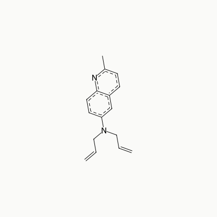 C=CCN(CC=C)c1ccc2nc(C)ccc2c1